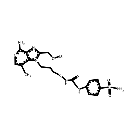 CCOCc1nc2c(N)ncc(C)c2n1CCCCNC(=S)Nc1ccc(S(N)(=O)=O)cc1